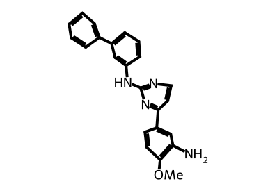 COc1ccc(-c2ccnc(Nc3cccc(-c4ccccc4)c3)n2)cc1N